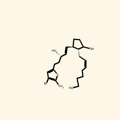 Cc1sc(CC[C@H](O)/C=C/[C@H]2CCC(O)[C@@H]2C/C=C\CCCCO)cc1Br